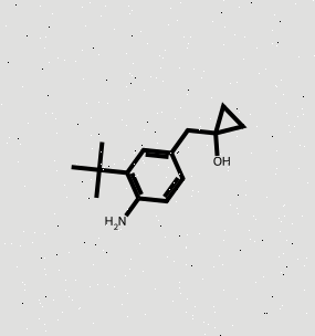 CC(C)(C)c1cc(CC2(O)CC2)ccc1N